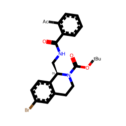 CC(=O)c1ccccc1C(=O)NC[C@@H]1c2ccc(Br)cc2CCN1C(=O)OC(C)(C)C